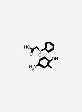 Cc1cc(N)ccc1O.O=C(O)CN(O)c1ccccc1